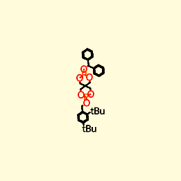 CC(C)(C)c1ccc(COP2OCC3(CO2)COP(OC(c2ccccc2)c2ccccc2)OC3)c(C(C)(C)C)c1